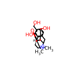 C[N+]1(C)CC[C@@]23CC(=O)C(CO)CC2C1Cc1ccc(CO)c(O)c13